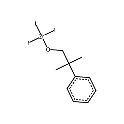 CC(C)(C[O][Zr]([I])([I])[I])c1ccccc1